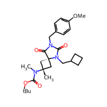 COc1ccc(CN2C(=O)N(CC3CCC3)[C@]3(C[C@@](C)(N(C)C(=O)OC(C)(C)C)C3)C2=O)cc1